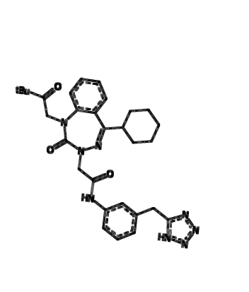 CC(C)(C)C(=O)CN1C(=O)N(CC(=O)Nc2cccc(Cc3nnn[nH]3)c2)N=C(C2CCCCC2)c2ccccc21